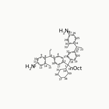 CCCCCCCCC(c1ccc(C(C)c2ccc(N)cc2C)cc1)(c1ccc(C(C)c2ccc(N)cc2C)cc1)C1CCCCC1